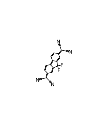 N#CC(C#N)=c1ccc2c(c1)C(F)(F)c1cc(=C(C#N)C#N)ccc1=2